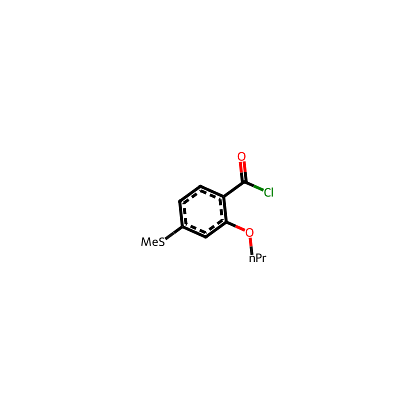 CCCOc1cc(SC)ccc1C(=O)Cl